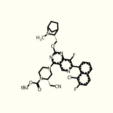 CN1C2CCC(C2)[C@@H]1COc1nc(N2CCN(C(=O)OC(C)(C)C)[C@@H](CC#N)C2)c2cnc(-c3cccc4ccc(F)c(Cl)c34)c(F)c2n1